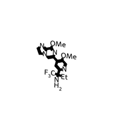 CCC(N)(c1cc(-c2cn3ccnc3c(OC)n2)c(OC)cn1)C(F)(F)F